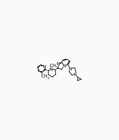 Cc1cccnc1[C@@H]1CCC[C@H](C2CN3C(N4CCN(C5CC5)CC4)=CC=CC3=N2)N1C